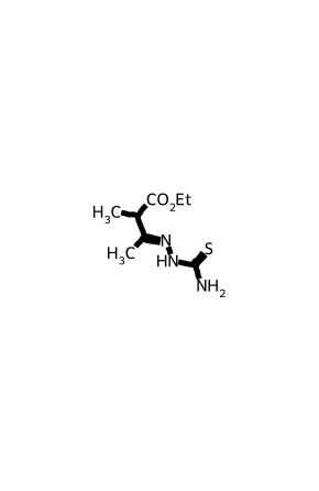 CCOC(=O)C(C)C(C)=NNC(N)=S